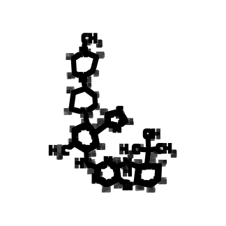 Cc1cc(N2CCC(N3CCN(C)CC3)CC2)c(-c2cscn2)cc1Nc1ncc(Br)c(Nc2ccccc2C(C)(C)O)n1